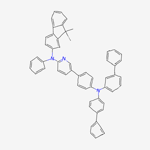 CC1(C)c2ccccc2-c2ccc(N(c3ccccc3)c3ccc(-c4ccc(N(c5ccc(-c6ccccc6)cc5)c5cccc(-c6ccccc6)c5)cc4)cn3)cc21